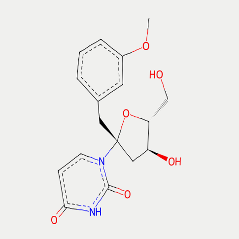 COc1cccc(C[C@]2(n3ccc(=O)[nH]c3=O)C[C@H](O)[C@@H](CO)O2)c1